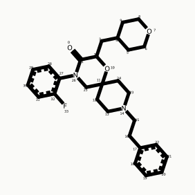 O=C1C(CC2CCOCC2)OC2(CCN(CCc3ccccc3)CC2)CN1c1ccccc1F